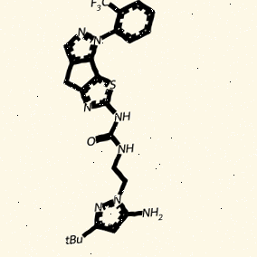 CC(C)(C)c1cc(N)n(CCNC(=O)Nc2nc3c(s2)-c2c(cnn2-c2ccccc2C(F)(F)F)C3)n1